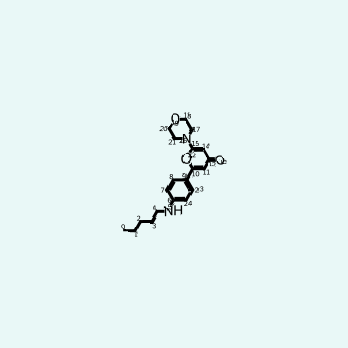 CCCCCNc1ccc(-c2cc(=O)cc(N3CCOCC3)o2)cc1